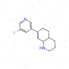 Fc1cncc(C2=CC3NCCCC3CC2)c1